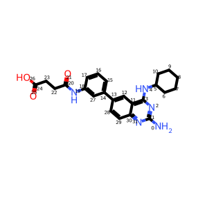 Nc1nc(NC2CCCCC2)c2cc(-c3cccc(NC(=O)CCC(=O)O)c3)ccc2n1